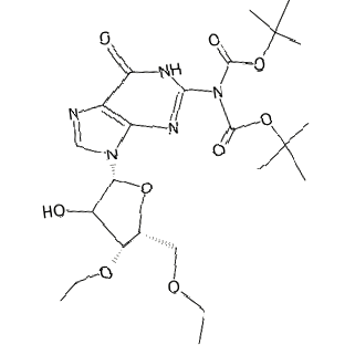 CCOC[C@H]1O[C@@H](n2cnc3c(=O)[nH]c(N(C(=O)OC(C)(C)C)C(=O)OC(C)(C)C)nc32)C(O)[C@H]1OCC